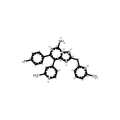 Cc1cc(-c2c(-c3ccc(F)cc3)nc(N)n3nc(Cc4cccc(C)n4)nc23)ccn1